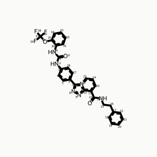 O=C(Nc1ccc(-c2nnc3c(C(=O)NCCc4ccccc4)cccn23)cc1)Nc1ccccc1OC(F)(F)F